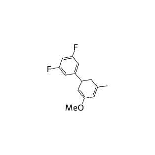 COC1=CC(c2cc(F)cc(F)c2)CC(C)=C1